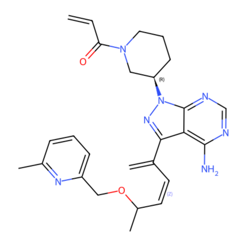 C=CC(=O)N1CCC[C@@H](n2nc(C(=C)/C=C\C(C)OCc3cccc(C)n3)c3c(N)ncnc32)C1